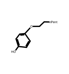 CCCCCC[CH]Oc1ccc(O)cc1